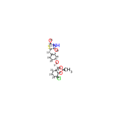 CC(=O)O[C@@H](COc1ccc(CC2SC(=O)NC2=O)cc1)c1cccc(Cl)c1